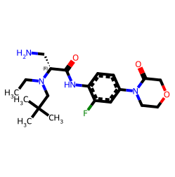 CCN(CC(C)(C)C)[C@H](CN)C(=O)Nc1ccc(N2CCOCC2=O)cc1F